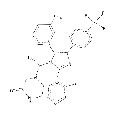 Cc1cccc(C2C(c3ccc(C(F)(F)F)cc3)N=C(c3ccccc3Cl)N2C(O)N2CCNC(=O)C2)c1